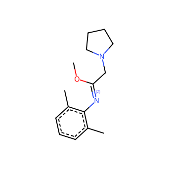 CO/C(CN1CCCC1)=N\c1c(C)cccc1C